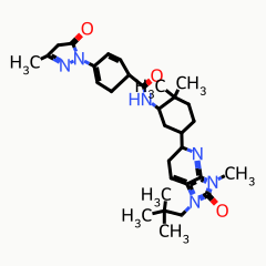 CC1=NN(C2=CCC(C(=O)NC3CC(C4CC=c5c(n(C)c(=O)n5CC(C)(C)C)=N4)CCC3(C)C)C=C2)C(=O)C1